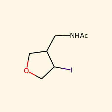 CC(=O)NCC1COCC1I